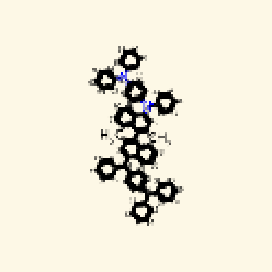 Cc1cc(C(c2ccc(C(c3ccccc3)c3ccccc3)cc2)C2C=CC=CC2)c2ccccc2c1-c1c(C)cc(N(c2ccccc2)c2ccc(N(c3ccccc3)c3ccccc3)cc2)c2ccccc12